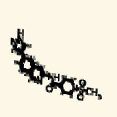 CS(=O)(=O)N1CCC(C(=O)Nc2cc3cc(-c4cn[nH]c4)ccc3cn2)CC1